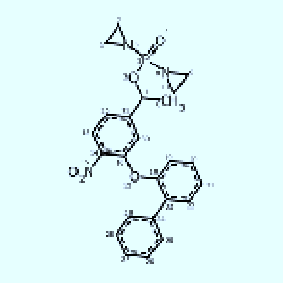 CC(OP(=O)(N1CC1)N1CC1)c1ccc([N+](=O)[O-])c(Oc2ccccc2-c2ccccc2)c1